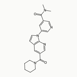 CN(C)C(=O)c1cncc(-n2ccc3cc(C(=O)N4CCCCC4)cnc32)c1